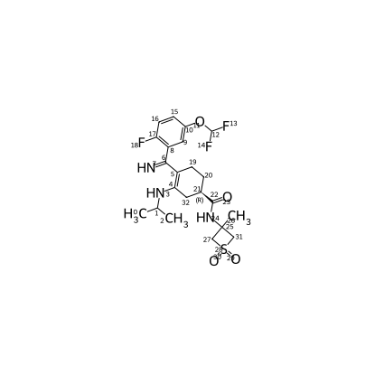 CC(C)NC1=C(C(=N)c2cc(OC(F)F)ccc2F)CC[C@@H](C(=O)NC2(C)CS(=O)(=O)C2)C1